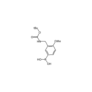 COc1ccc(B(O)O)cc1CNC(=O)OC(C)(C)C